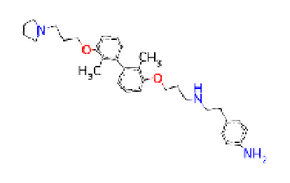 Cc1c(OCCCNCCc2ccc(N)cc2)cccc1-c1cccc(OCCCN2CCCC2)c1C